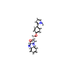 Cn1cccc1-c1ccc(OC[C@@H]2Cn3c(nc4ccccc43)O2)cc1